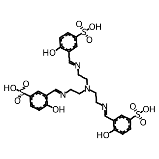 O=S(=O)(O)c1ccc(O)c(C=NCCN(CCN=Cc2cc(S(=O)(=O)O)ccc2O)CCN=Cc2cc(S(=O)(=O)O)ccc2O)c1